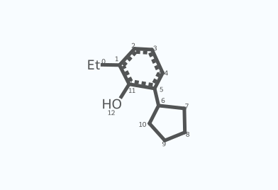 CCc1cccc(C2CCCC2)c1O